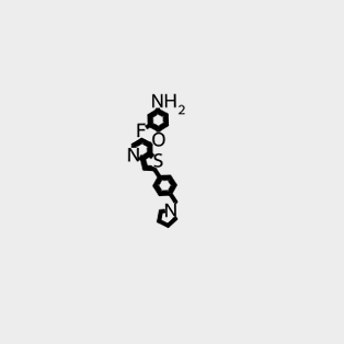 Nc1ccc(Oc2ccnc3cc(-c4ccc(CN5CCCC5)cc4)sc23)c(F)c1